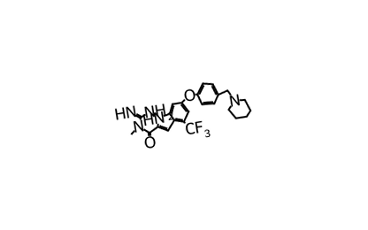 CN(C(=N)N)C(=O)c1cc2c(C(F)(F)F)cc(Oc3ccc(CN4CCCCC4)cc3)cc2[nH]1